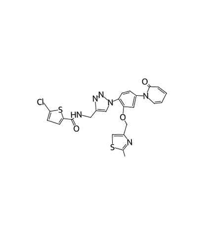 Cc1nc(COc2cc(-n3ccccc3=O)ccc2-n2cc(CNC(=O)c3ccc(Cl)s3)nn2)cs1